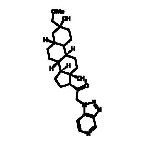 COC[C@@]1(O)CCC2[C@H](CC[C@@H]3[C@@H]2CC[C@]2(C)[C@@H](C(=O)Cn4nnc5cnccc54)CC[C@@H]32)C1